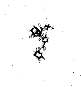 COC(C)(C)CNC(=O)C[C@@]1(O)C2CC[C@H]1C[C@H](S(=O)(=O)c1cc(C(=O)Nc3ccc(F)c(F)c3)ccc1Cl)C2